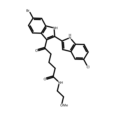 COCCNC(=O)CCCC(=O)c1c(-c2cc3cc(Cl)ccc3[nH]2)[nH]c2cc(Br)ccc12